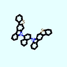 c1ccc2c(c1)sc1cc3c(cc12)c1ccccc1n3-c1ccc(-n2c3ccccc3c3cc4c(cc32)sc2ccccc24)c2ccccc12